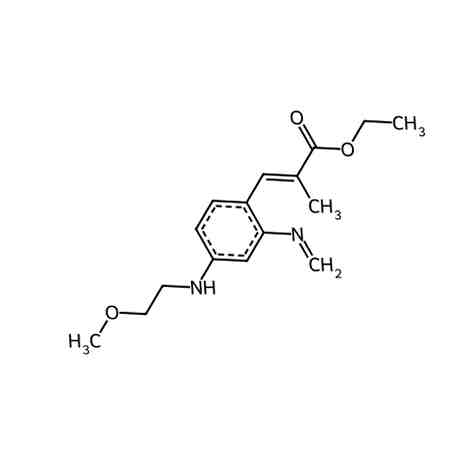 C=Nc1cc(NCCOC)ccc1/C=C(\C)C(=O)OCC